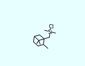 CC1CCC2CC1(C[Si](C)(C)Cl)C2(C)C